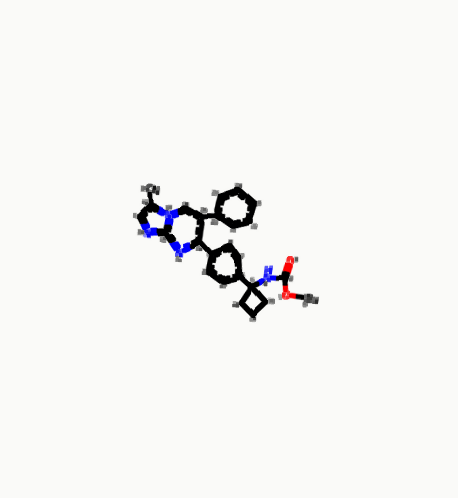 CC(C)(C)OC(=O)NC1(c2ccc(-c3nc4ncc(C#N)n4cc3-c3ccccc3)cc2)CCC1